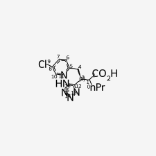 CCCC(C(=O)O)[C@H](Cc1ccc(Cl)cn1)c1nnn[nH]1